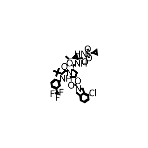 CC[C@@H]1C[C@]1(NC(=O)[C@@H]1C[C@@H](OC(=O)N2Cc3cccc(Cl)c3C2)CN1C(=O)[C@@H](Nc1cccc(C(F)(F)F)c1)C(C)(C)C)C(=O)NS(=O)(=O)C1CC1